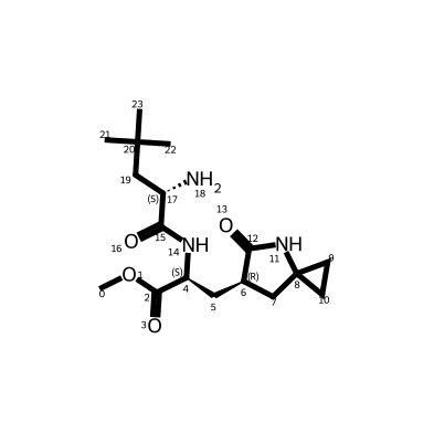 COC(=O)[C@H](C[C@@H]1CC2(CC2)NC1=O)NC(=O)[C@@H](N)CC(C)(C)C